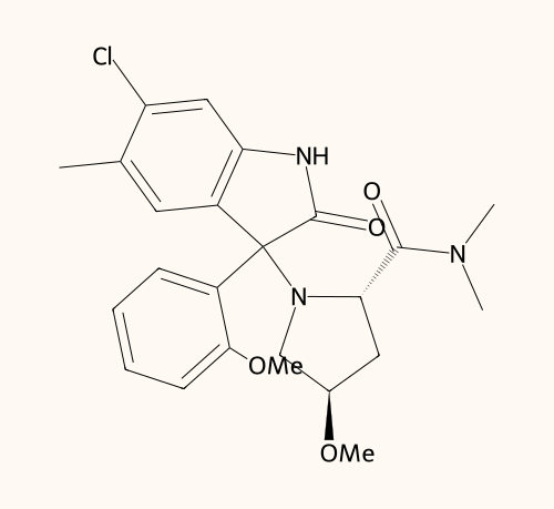 COc1ccccc1C1(N2C[C@H](OC)C[C@H]2C(=O)N(C)C)C(=O)Nc2cc(Cl)c(C)cc21